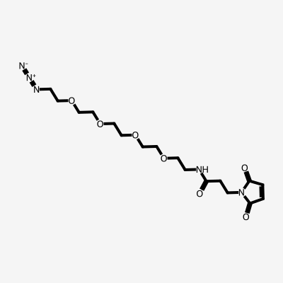 [N-]=[N+]=NCCOCCOCCOCCOCCNC(=O)CCN1C(=O)C=CC1=O